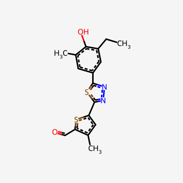 CCc1cc(-c2nnc(-c3cc(C)c(C=O)s3)s2)cc(C)c1O